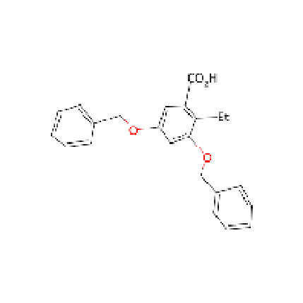 CCc1c(OCc2ccccc2)cc(OCc2ccccc2)cc1C(=O)O